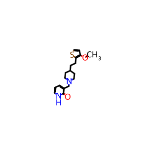 COc1ccsc1CCC1CCN(Cc2ccc[nH]c2=O)CC1